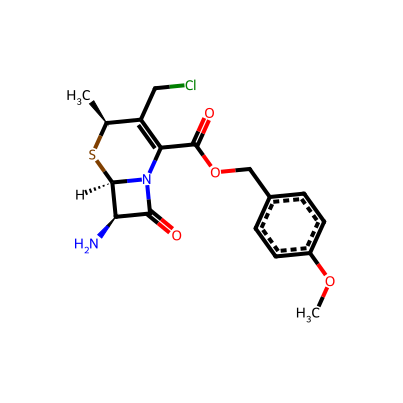 COc1ccc(COC(=O)C2=C(CCl)[C@H](C)S[C@@H]3[C@H](N)C(=O)N23)cc1